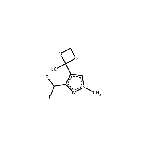 Cn1cc(C2(C)OCO2)c(C(F)F)n1